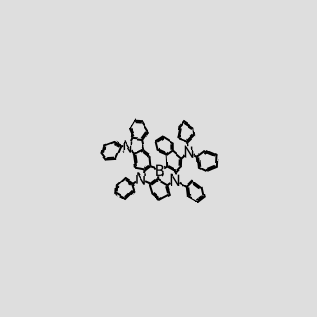 c1ccc(N2c3cc4c(cc3B3c5c2cccc5N(c2ccccc2)c2cc(N(c5ccccc5)c5ccccc5)c5ccccc5c23)c2ccccc2n4-c2ccccc2)cc1